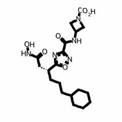 O=C(C[C@@H](CCCC1CCCCC1)c1nc(C(=O)NC2CN(C(=O)O)C2)no1)NO